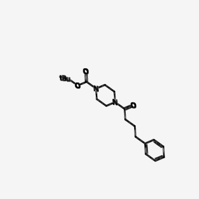 CC(C)(C)OC(=O)N1CCN(C(=O)CCCc2ccccc2)CC1